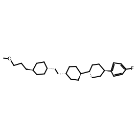 COCCC[C@H]1CC[C@H](CC[C@H]2CC[C@H]([C@H]3CC[C@H](c4ccc(F)cc4)CC3)CC2)CC1